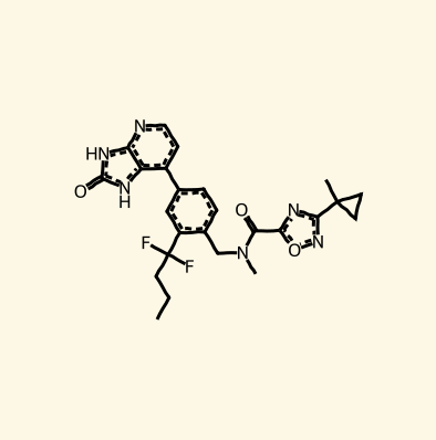 CCCC(F)(F)c1cc(-c2ccnc3[nH]c(=O)[nH]c23)ccc1CN(C)C(=O)c1nc(C2(C)CC2)no1